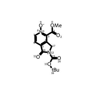 COC(=O)c1c2c(cc[n+]1[O-])C(=O)N(C(=O)OC(C)(C)C)C2